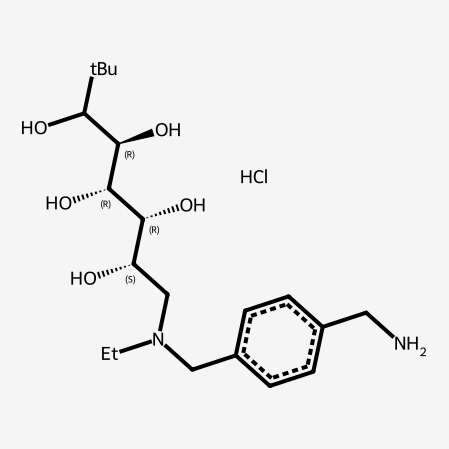 CCN(Cc1ccc(CN)cc1)C[C@H](O)[C@@H](O)[C@H](O)[C@H](O)C(O)C(C)(C)C.Cl